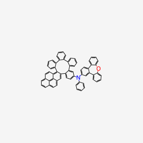 c1ccc(N(c2ccc3c(c2)-c2ccccc2Oc2ccccc2-3)c2ccc3c(c2)c2ccccc2c2ccccc2c2ccccc2c2c3cc3ccc4cccc5ccc2c3c45)cc1